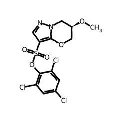 CO[C@H]1COc2c(S(=O)(=O)Oc3c(Cl)cc(Cl)cc3Cl)cnn2C1